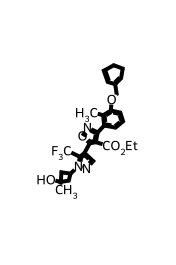 CCOC(=O)c1c(-c2cccc(OCC3=CCCC=C3)c2C)noc1-c1cnn(C2CC(C)(O)C2)c1C(F)(F)F